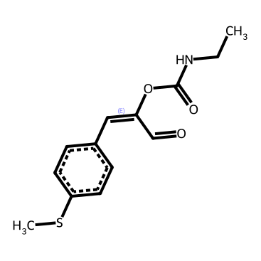 CCNC(=O)O/C(C=O)=C/c1ccc(SC)cc1